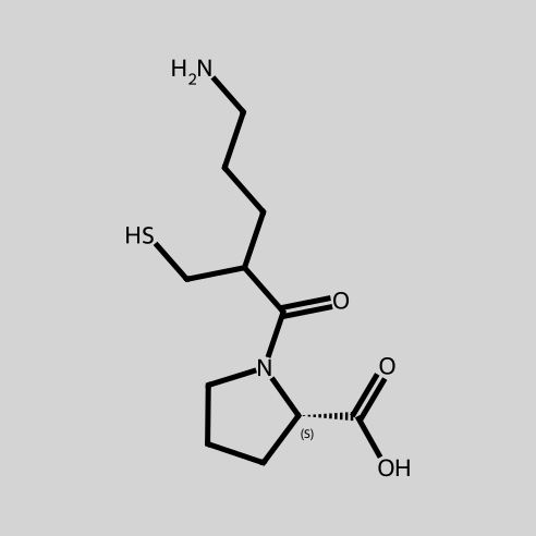 NCCCC(CS)C(=O)N1CCC[C@H]1C(=O)O